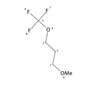 COCCCOC(F)(F)F